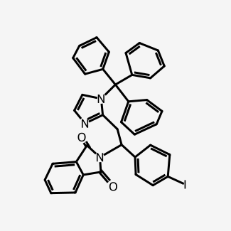 O=C1c2ccccc2C(=O)N1C(Cc1nccn1C(c1ccccc1)(c1ccccc1)c1ccccc1)c1ccc(I)cc1